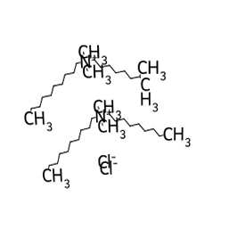 CCCCCCCCCC[N+](C)(C)CCCCCCC(C)C.CCCCCCCCCC[N+](C)(C)CCCCCCCCC.[Cl-].[Cl-]